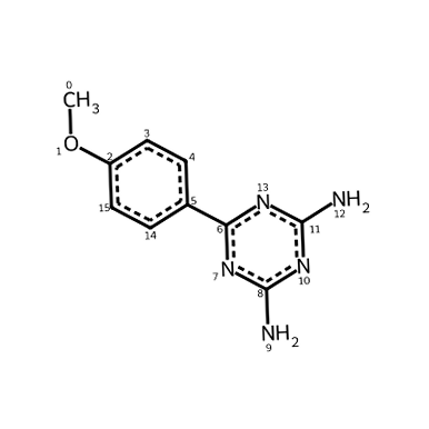 COc1ccc(-c2nc(N)nc(N)n2)cc1